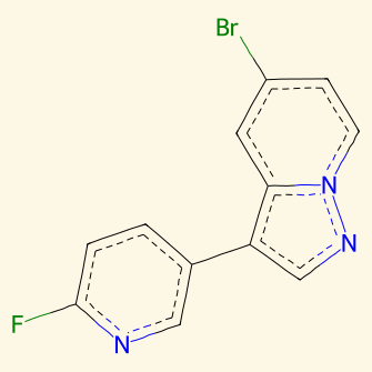 Fc1ccc(-c2cnn3ccc(Br)cc23)cn1